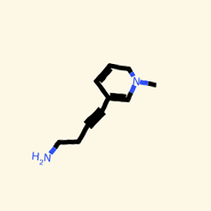 CN1C=C(C#CCCN)C=CC1